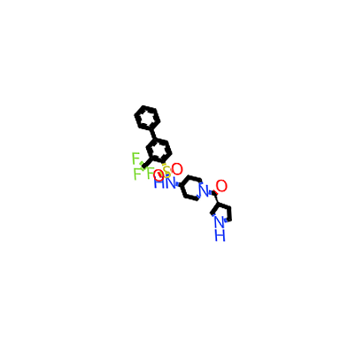 O=C([C@H]1CCNC1)N1CCC(NS(=O)(=O)c2ccc(-c3ccccc3)cc2C(F)(F)F)CC1